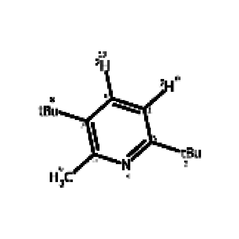 [2H]c1c(C(C)(C)C)nc(C)c(C(C)(C)C)c1[2H]